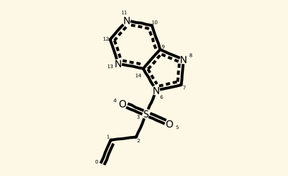 C=CCS(=O)(=O)n1cnc2cncnc21